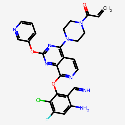 C=CC(=O)N1CCN(c2nc(Oc3cccnc3)nc3c(Oc4c(Cl)c(F)cc(N)c4C=N)nccc23)CC1